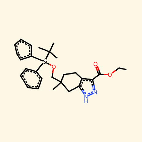 CCOC(=O)c1n[nH]c2c1CCC(C)(CO[Si](c1ccccc1)(c1ccccc1)C(C)(C)C)C2